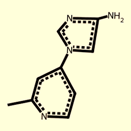 Cc1cc(-n2cnc(N)c2)ccn1